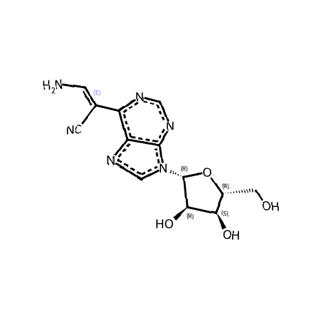 N#C/C(=C\N)c1ncnc2c1ncn2[C@@H]1O[C@H](CO)[C@@H](O)[C@H]1O